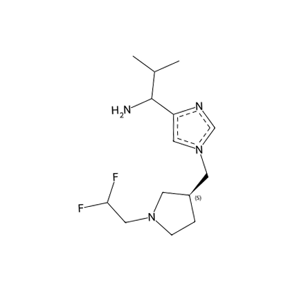 CC(C)C(N)c1cn(C[C@H]2CCN(CC(F)F)C2)cn1